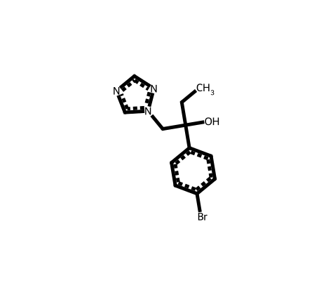 CCC(O)(Cn1cncn1)c1ccc(Br)cc1